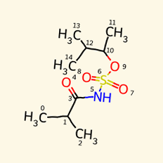 CC(C)C(=O)NS(=O)(=O)OC(C)C(C)C